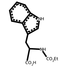 CCOC(=O)NC(Cc1c[nH]c2ccccc12)C(=O)O